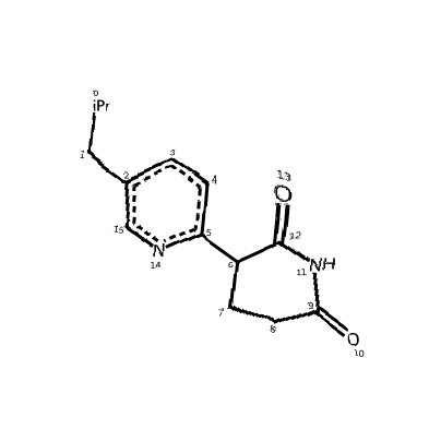 CC(C)Cc1ccc(C2CCC(=O)NC2=O)nc1